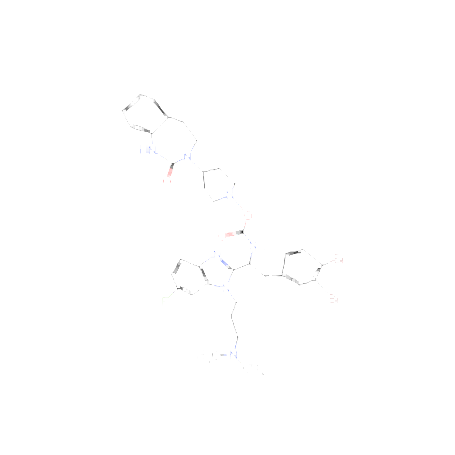 CN(C)CCCn1c(C(Cc2ccc(Br)c(Br)c2)NC(=O)ON2CCC(N3CCc4ccccc4NC3=O)CC2)nc2ccc(F)cc21